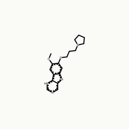 COc1cc2c3[nH]cncc-3nc2cc1OCCCN1CCCC1